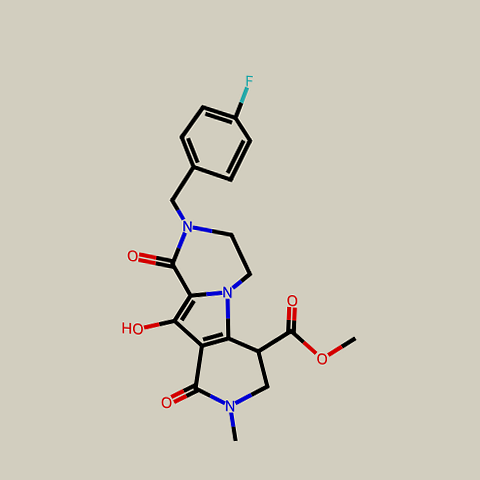 COC(=O)C1CN(C)C(=O)c2c(O)c3n(c21)CCN(Cc1ccc(F)cc1)C3=O